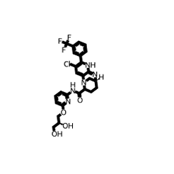 O=C(Nc1cccc(OC[C@@H](O)CO)n1)C1CC[C@H]2CN1C1=CC(Cl)=C(c3cccc(C(F)(F)F)c3)NC1=N2